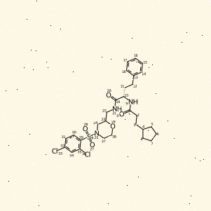 O=C(CCC1CCCC1)N[C@@H](CCc1ccccc1)C(=O)NCC1CN(S(=O)(=O)c2ccc(Cl)cc2Cl)CCO1